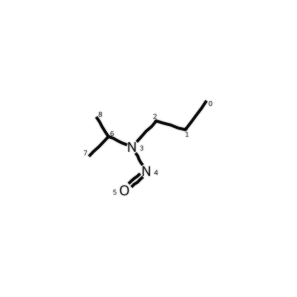 CCCN(N=O)C(C)C